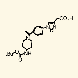 C=C(c1ccc(-n2cc(CC(=O)O)nn2)cc1)N1CCC(NC(=O)OC(C)(C)C)CC1